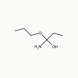 CC[CH]OC(N)(O)CC